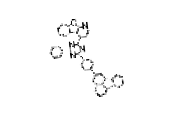 C1=CC2Oc3nccc(-c4nc(-c5ccccc5)nc(-c5ccc(-c6cc7c8c(cccc8c6)-c6ccccc6-7)cc5)n4)c3C2C=C1